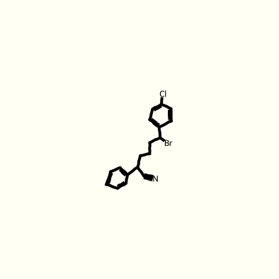 N#CC(CCCC(Br)c1ccc(Cl)cc1)c1ccccc1